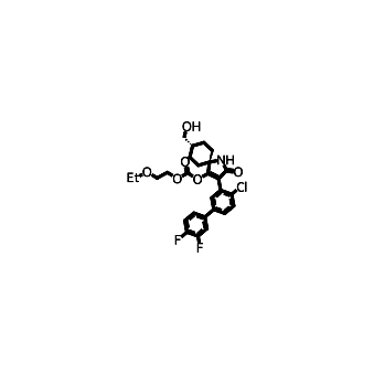 CCOCCOC(=O)OC1=C(c2cc(-c3ccc(F)c(F)c3)ccc2Cl)C(=O)N[C@]12CC[C@@H](CO)CC2